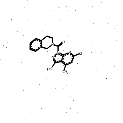 Cc1cc(Cl)nc2c1c(O)nn2C(=O)N1CCc2ccccc2C1